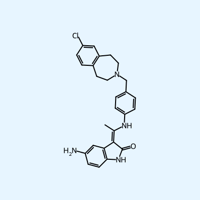 CC(Nc1ccc(CN2CCc3ccc(Cl)cc3CC2)cc1)=C1C(=O)Nc2ccc(N)cc21